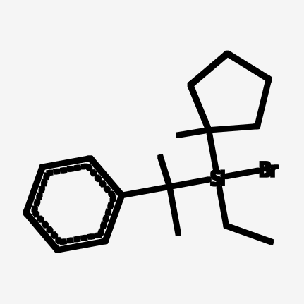 CC[Si](Br)(C1(C)CCCC1)C(C)(C)c1ccccc1